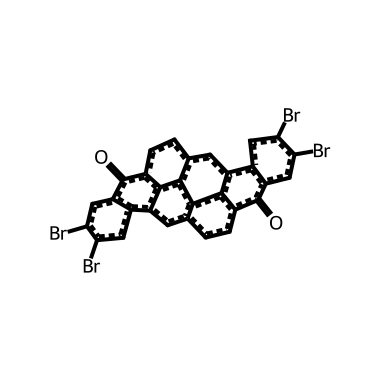 O=c1c2cc(Br)c(Br)cc2c2cc3ccc4c(=O)c5cc(Br)c(Br)cc5c5cc6ccc1c2c6c3c45